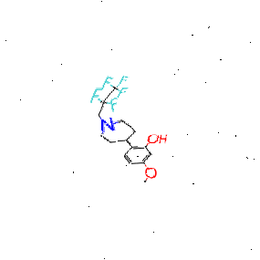 COc1ccc(C2CCN(CC(F)(F)C(F)(F)F)CC2)c(O)c1